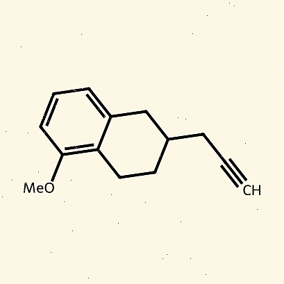 C#CCC1CCc2c(cccc2OC)C1